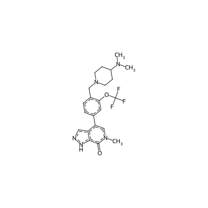 CN(C)C1CCN(Cc2ccc(-c3cn(C)c(=O)c4[nH]ncc34)cc2OC(F)(F)F)CC1